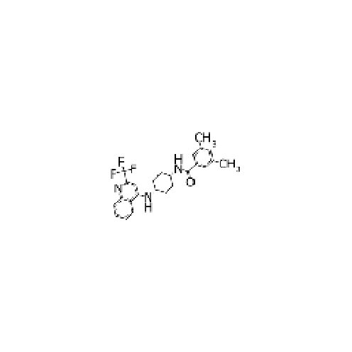 Cc1cc(C)cc(C(=O)N[C@H]2CC[C@@H](Nc3cc(C(F)(F)F)nc4ccccc34)CC2)c1